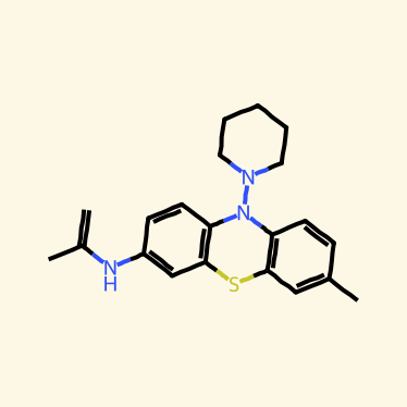 C=C(C)Nc1ccc2c(c1)Sc1cc(C)ccc1N2N1CCCCC1